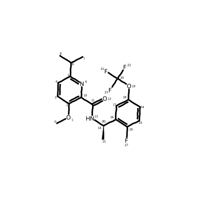 COc1ccc(C(C)C)nc1C(=O)N[C@H](C)c1cc(OC(F)(F)F)ccc1F